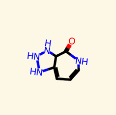 O=C1NC=CC=C2NNNC12